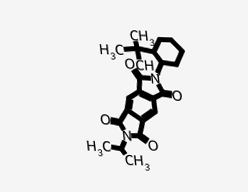 CC(C)n1c(=O)c2cc3c(=O)n(C4CCCCC4C(C)(C)C)c(=O)c3cc2c1=O